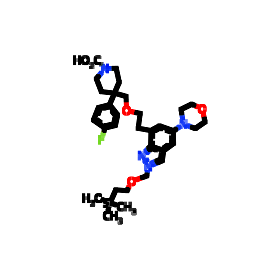 C[Si](C)(C)CCOCn1cc2cc(N3CCOCC3)cc(CCOCC3(c4ccc(F)cc4)CCN(C(=O)O)CC3)c2n1